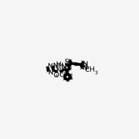 C[C@H](NC(=O)c1nccnc1N)c1nc2scc(C#Cc3cnn(C)c3)c2cc1-c1ccccc1